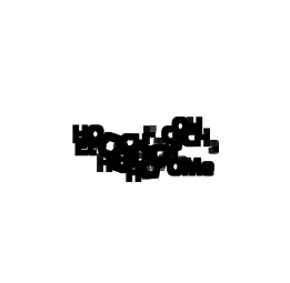 CC[C@]1(O)CC[C@@]2(C)[C@H](CC[C@@H]3[C@@H]2CC[C@]2(C)[C@@H]([C@@H](CC[C@@](C)(O)C(F)(F)F)OC)CC[C@@H]32)C1